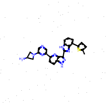 Cc1ccc(-c2cccc3[nH]c(-c4n[nH]c5ccc(-c6cncc(N7CC(N)C7)n6)nc45)nc23)s1